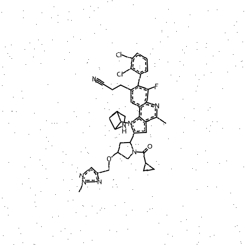 Cc1nc2c(F)c(-c3cccc(Cl)c3Cl)c(CCC#N)cc2c2c1cc(C1CC(OCc3cnn(C)n3)CN1C(=O)C1CC1)n2C1C2CNC1C2